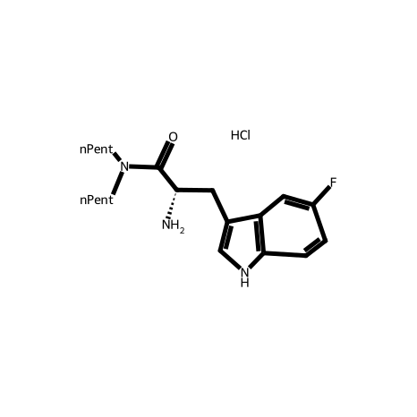 CCCCCN(CCCCC)C(=O)[C@@H](N)Cc1c[nH]c2ccc(F)cc12.Cl